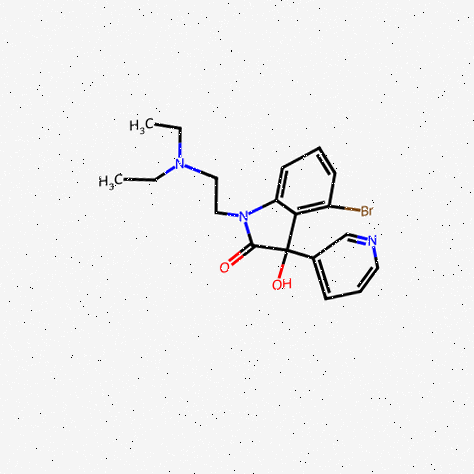 CCN(CC)CCN1C(=O)C(O)(c2cccnc2)c2c(Br)cccc21